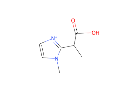 CC(C(=O)O)C1=[N+]C=CN1C